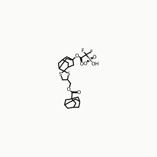 O=C(OCC1CSC2(S1)C1CC3CC2CC(OC(=O)C(F)(F)S(=O)(=O)O)(C3)C1)C12CC3CC(CC(C3)C1)C2